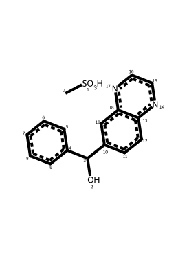 CS(=O)(=O)O.OC(c1ccccc1)c1ccc2nccnc2c1